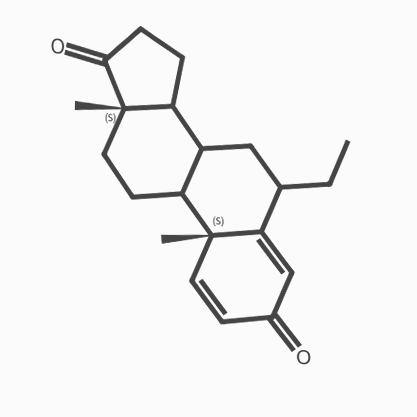 CCC1CC2C(CC[C@]3(C)C(=O)CCC23)[C@@]2(C)C=CC(=O)C=C12